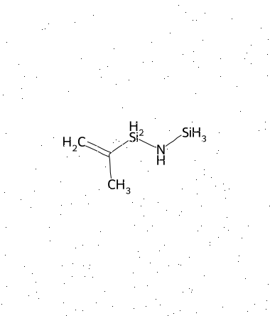 C=C(C)[SiH2]N[SiH3]